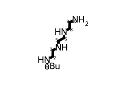 CCCCNCCNCCNCCN